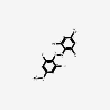 CCCCOc1cc(F)c(/N=N/c2c(F)cc(O)cc2F)c(F)c1